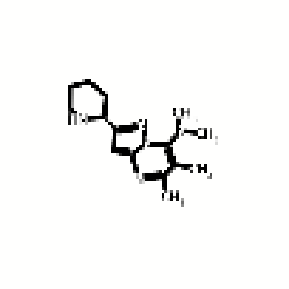 Cc1nc2cc([C@@H]3CCCCN3)nn2c(N(C)C)c1C